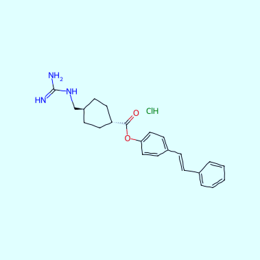 Cl.N=C(N)NC[C@H]1CC[C@H](C(=O)Oc2ccc(C=Cc3ccccc3)cc2)CC1